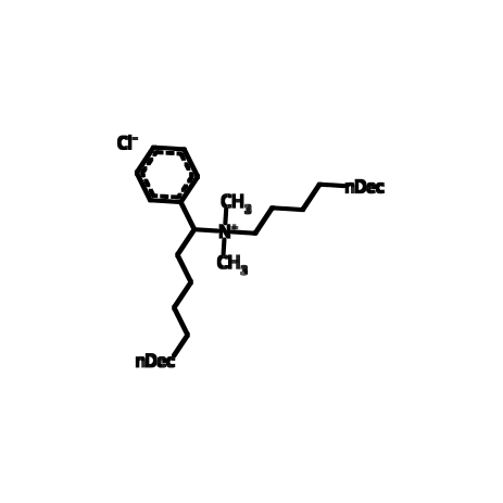 CCCCCCCCCCCCCCC(c1ccccc1)[N+](C)(C)CCCCCCCCCCCCCC.[Cl-]